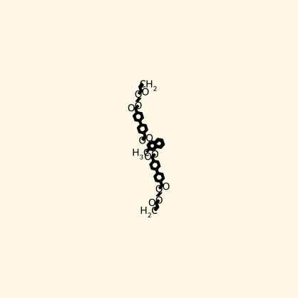 C=CC(=O)OCCOC(=O)C1CCC(C2CCC(C(=O)Oc3cc(C)c(OC(=O)C4CCC(C5CCC(C(=O)OCCOC(=O)C=C)CC5)CC4)c4ccccc34)CC2)CC1